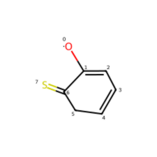 [O]C1=CC=CCC1=S